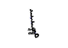 C=C(/C=C(\C=O)c1ccccc1)NC(CSC/C=C(\C)CC/C=C(\C)CCC=C(C)C)C(C)=O